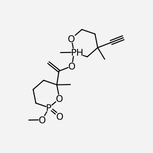 C#CC1(C)CCO[PH](C)(OC(=C)C2(C)CCCP(=O)(OC)O2)C1